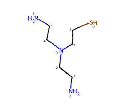 NCCN(CCN)CCS